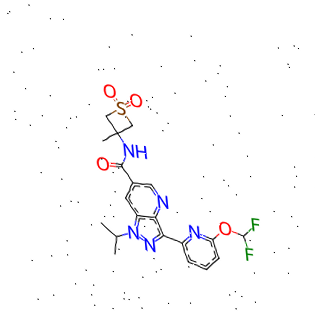 CC(C)n1nc(-c2cccc(OC(F)F)n2)c2ncc(C(=O)NC3(C)CS(=O)(=O)C3)cc21